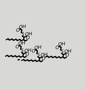 CC.CCCCCCCCCC(CC)C(CSCCC(=O)O)C(=O)O.CCCCCCCCCC(CC)C(CSCCC(=O)O)C(=O)O.CCCCCCCCCC(CC)C(CSCCC(=O)O)C(=O)O.CCCCCCCCCC(CC)C(CSCCC(=O)O)C(=O)O